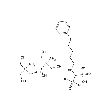 NC(CO)(CO)CO.NC(CO)(CO)CO.O=P(O)(O)C(NCCCCOc1ccccc1)P(=O)(O)O